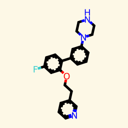 Fc1ccc(-c2cccc(N3CCNCC3)c2)c(OCCc2cccnc2)c1